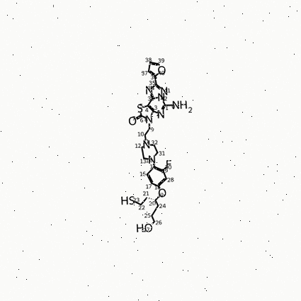 Nc1nc2c(sc(=O)n2CCN2CCN(c3ccc(O[C@@H](CCS)CCCO)cc3F)CC2)c2nc(-c3ccco3)nn12